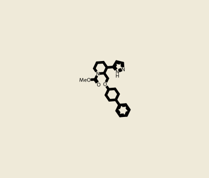 COC(=O)N1CCCC(c2ccn[nH]2)C1COC1CCC(c2ccccc2)CC1